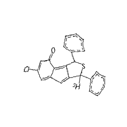 [2H]C1(c2ccccc2)SC(c2ccccc2)C2=C3C(=O)C=C(Cl)C=C3C=C21